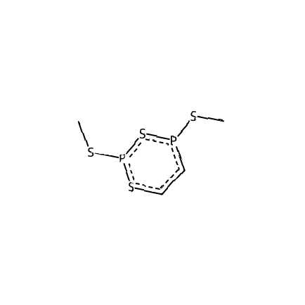 CSp1ccsp(SC)s1